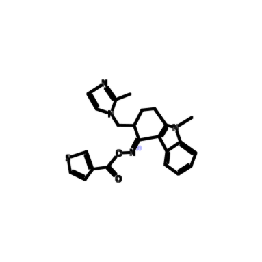 Cc1nccn1CC1CCc2c(c3ccccc3n2C)/C1=N/OC(=O)c1ccsc1